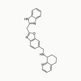 c1cnc2c(c1)CCCC2NCc1ccc2nc(Cc3nc4ccccc4[nH]3)oc2c1